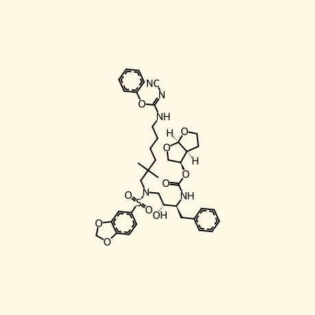 CC(C)(CCCCN/C(=N/C#N)Oc1ccccc1)CN(C[C@@H](O)[C@H](Cc1ccccc1)NC(=O)O[C@H]1CO[C@H]2OCC[C@H]21)S(=O)(=O)c1ccc2c(c1)OCO2